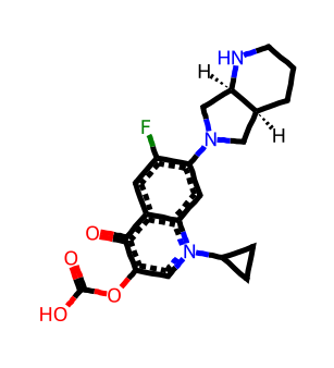 O=C(O)Oc1cn(C2CC2)c2cc(N3C[C@@H]4CCCN[C@@H]4C3)c(F)cc2c1=O